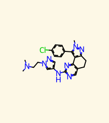 CN(C)CCn1cc(Nc2ncc3c(n2)-c2c(nn(C)c2-c2ccc(Cl)cc2)CC3)cn1